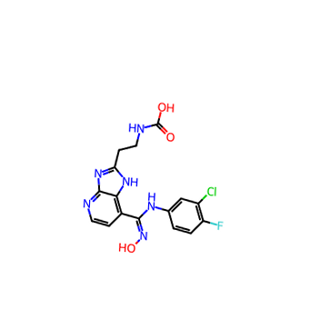 O=C(O)NCCc1nc2nccc(/C(=N\O)Nc3ccc(F)c(Cl)c3)c2[nH]1